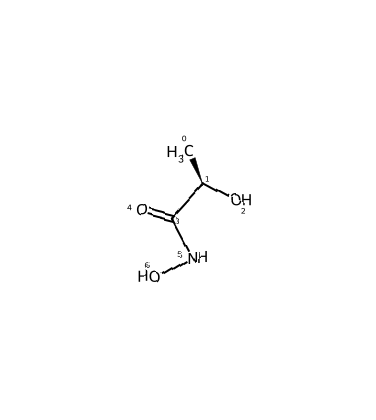 C[C@@H](O)C(=O)NO